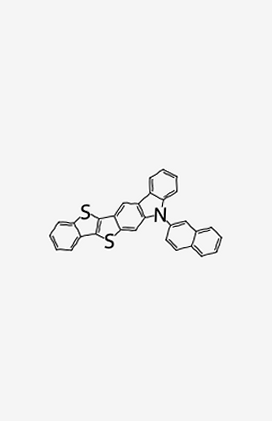 c1ccc2cc(-n3c4ccccc4c4cc5c(cc43)sc3c4ccccc4sc53)ccc2c1